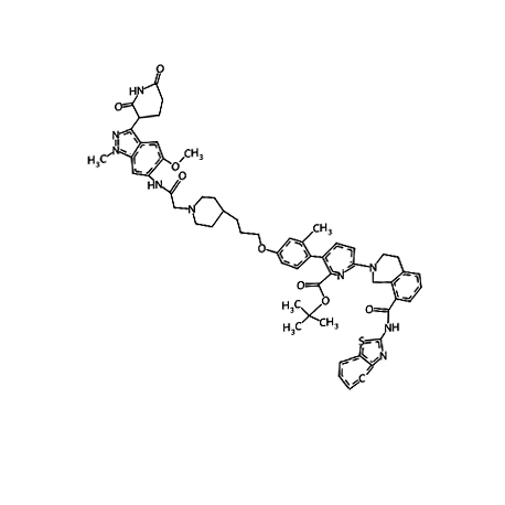 COc1cc2c(C3CCC(=O)NC3=O)nn(C)c2cc1NC(=O)CN1CCC(CCCOc2ccc(-c3ccc(N4CCc5cccc(C(=O)Nc6nc7ccccc7s6)c5C4)nc3C(=O)OC(C)(C)C)c(C)c2)CC1